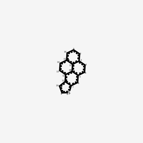 c1cc2ccc3cc4sccc4c4ccc(c1)c2c34